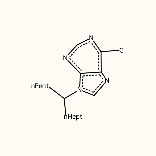 CCCCCCCC(CCCCC)n1cnc2c(Cl)ncnc21